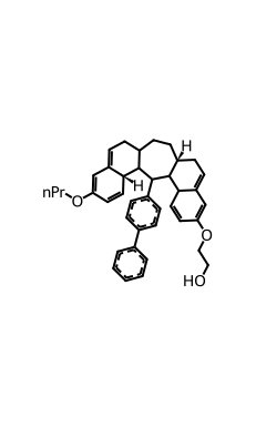 CCCOC1=CC2=CCC3CC[C@@H]4CC=C5C=C(OCCO)C=CC5C4C(c4ccc(-c5ccccc5)cc4)C3[C@@H]2C=C1